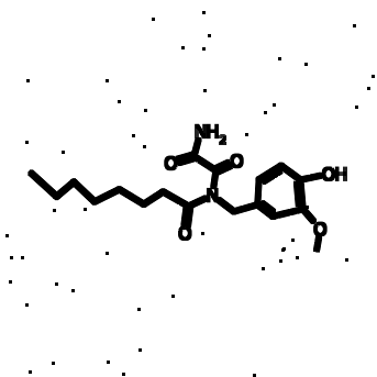 CCCCCCCC(=O)N(Cc1ccc(O)c(OC)c1)C(=O)C(N)=O